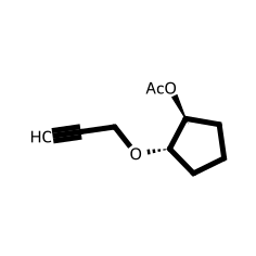 C#CCO[C@H]1CCC[C@@H]1OC(C)=O